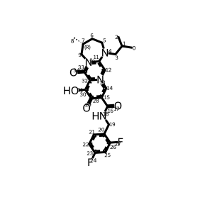 CC(C)CN1CC[C@@H](C)Cn2c1cn1cc(C(=O)NCc3ccc(F)cc3F)c(=O)c(O)c1c2=O